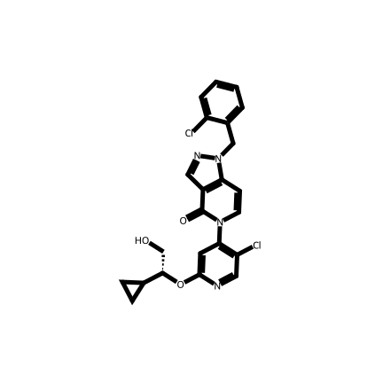 O=c1c2cnn(Cc3ccccc3Cl)c2ccn1-c1cc(O[C@@H](CO)C2CC2)ncc1Cl